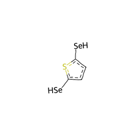 [SeH]c1ccc([SeH])s1